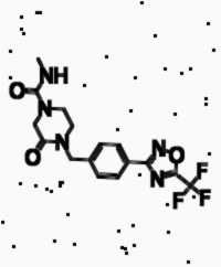 CNC(=O)N1CCN(Cc2ccc(-c3noc(C(F)(F)F)n3)cc2)C(=O)C1